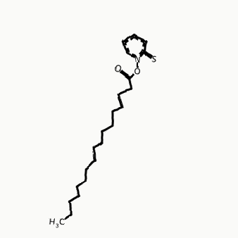 CCCCCCCCCCCCCCCCC(=O)On1ccccc1=S